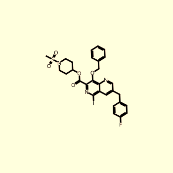 CS(=O)(=O)N1CCC(OC(=O)c2nc(I)c3cc(Cc4ccc(F)cc4)cnc3c2OCc2ccccc2)CC1